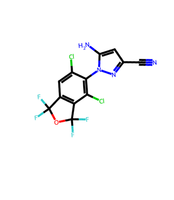 N#Cc1cc(N)n(-c2c(Cl)cc3c(c2Cl)C(F)(F)OC3(F)F)n1